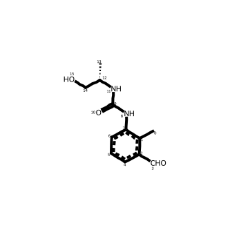 Cc1c(C=O)cccc1NC(=O)N[C@@H](C)CO